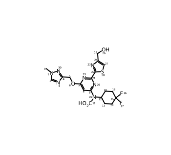 Cn1cnc(COc2cc(N(C(=O)O)C3CCC(F)(F)CC3)nc(-c3nc(CO)cs3)n2)n1